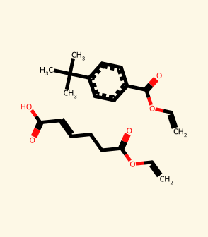 C=COC(=O)CC/C=C/C(=O)O.C=COC(=O)c1ccc(C(C)(C)C)cc1